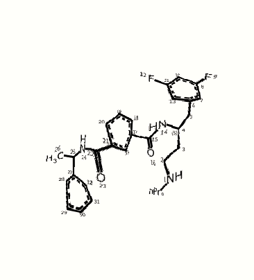 CCCNCC[C@H](Cc1cc(F)cc(F)c1)NC(=O)c1cccc(C(=O)NC(C)c2ccccc2)c1